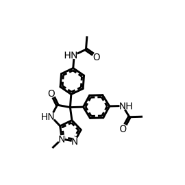 CC(=O)Nc1ccc(C2(c3ccc(NC(C)=O)cc3)C(=O)Nc3c2cnn3C)cc1